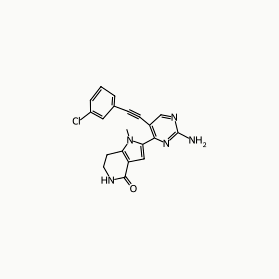 Cn1c(-c2nc(N)ncc2C#Cc2cccc(Cl)c2)cc2c1CCNC2=O